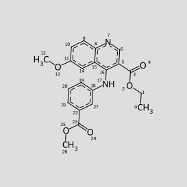 CCOC(=O)c1cnc2ccc(OC)cc2c1Nc1cccc(C(=O)OC)c1